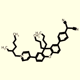 CCCCC(CC)C[n+]1ccc(-c2ccc3c(c2)C(CCCC)(CCCC)c2cc(-c4ccc(C(C#N)C#N)cc4)ccc2O3)cc1